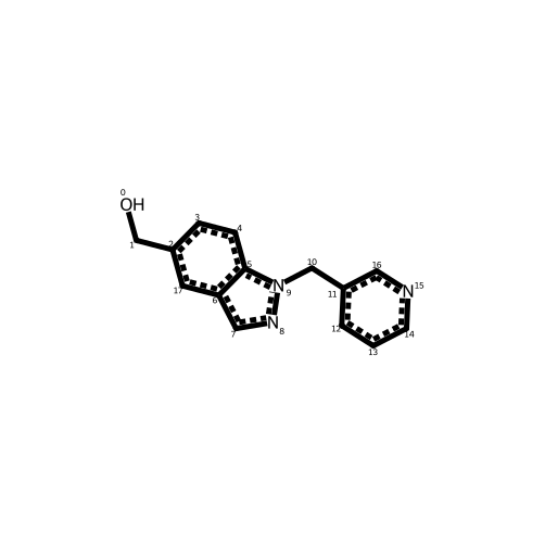 OCc1ccc2c(cnn2Cc2cccnc2)c1